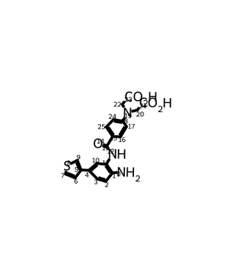 Nc1ccc(-c2ccsc2)cc1NC(=O)c1ccc(N(CC(=O)O)CC(=O)O)cc1